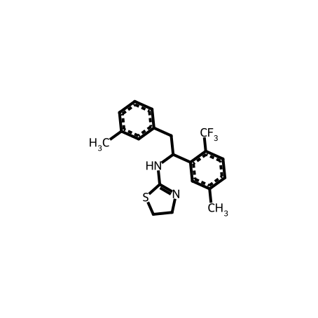 Cc1cccc(CC(NC2=NCCS2)c2cc(C)ccc2C(F)(F)F)c1